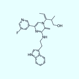 C=C1C(NCCc2c[nH]c3ccccc23)=NC(c2cncc(F)c2)=CN1/C(=C\C)C(C)CO